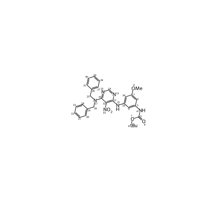 COc1cc(NC(=O)OC(C)(C)C)cc(Nc2ncnc(N(Cc3ccccc3)Cc3ccccc3)c2[N+](=O)[O-])c1